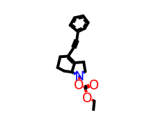 CCOC(=O)ON1CCC2=C(C#Cc3ccccc3)CCCC21